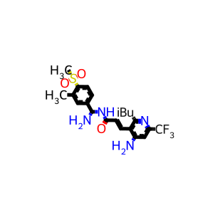 CCC(C)c1nc(C(F)(F)F)cc(N)c1C=CC(=O)NC(N)c1ccc(S(C)(=O)=O)c(C)c1